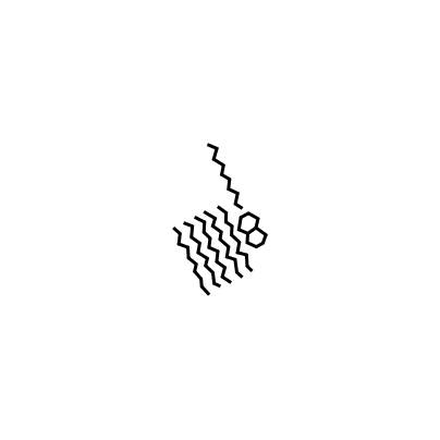 C1CCC2CCCCC2C1.CCCCCCCCCC.CCCCCCCCCC.CCCCCCCCCC.CCCCCCCCCC.CCCCCCCCCC.CCCCCCCCCC